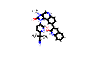 Cn1c(=O)n(-c2ccc(C(C)(C)C#N)nc2)c2c3cc(-c4cc5ccccc5nc4O)ccc3ncc21